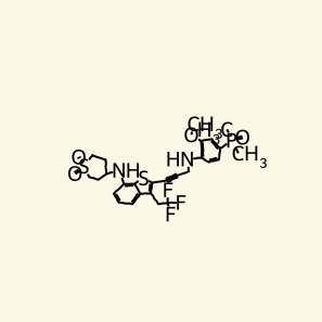 COc1cc(P(C)(C)=O)ccc1NCC#Cc1sc2c(NC3CCS(=O)(=O)CC3)cccc2c1CC(F)(F)F